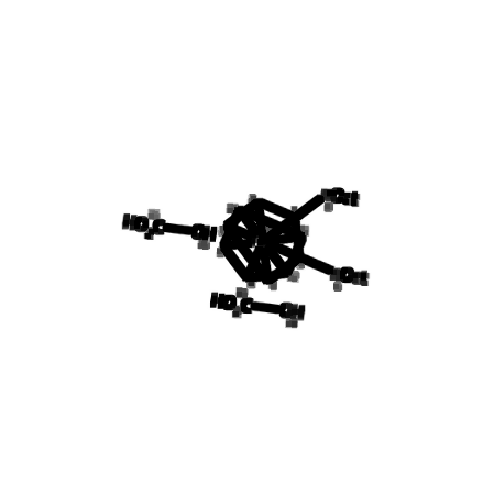 CCCCCCCC[C]12[CH]3[CH]4[CH]5[C]1(CCCCCCCC)[Fe]43521678[CH]2[CH]1[CH]6[CH]7[CH]28.O=C(O)O.O=C(O)O